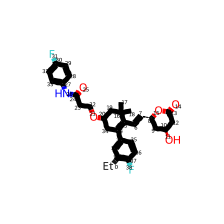 CCc1cc(C2=C(C=C[C@H]3C[C@H](O)CC(=O)O3)C(C)(C)CC(OCCC(=O)Nc3ccc(F)cc3)C2)ccc1F